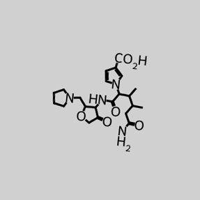 CC(CC(N)=O)C(C)C(C(=O)NC1C(=O)COC1CN1CCCC1)n1ccc(C(=O)O)c1